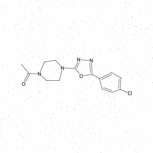 CC(=O)N1CCN(c2nnc(-c3ccc(Cl)cc3)o2)CC1